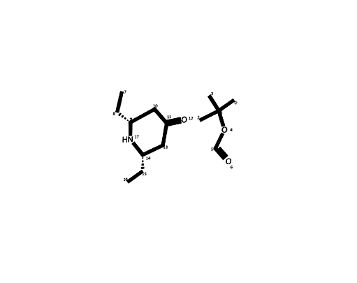 CC(C)(C)OC=O.CC[C@@H]1CC(=O)C[C@H](CC)N1